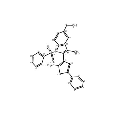 Cc1oc(-c2ccccc2)nc1-c1c(C)c2cc(CO)ccc2n1S(=O)(=O)c1ccccc1